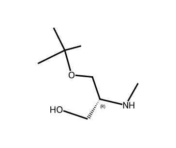 CN[C@H](CO)COC(C)(C)C